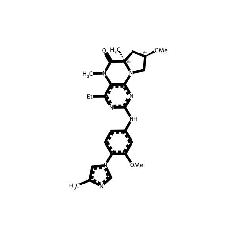 CCc1nc(Nc2ccc(-n3cnc(C)c3)c(OC)c2)nc2c1N(C)C(=O)[C@@]1(C)C[C@@H](OC)CN21